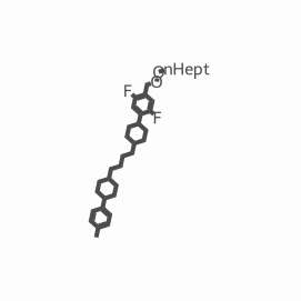 [CH2+][CH-]CCCCCOOCc1cc(F)c(C2CCC(CCCCC3CCC(c4ccc(C)cc4)CC3)CC2)cc1F